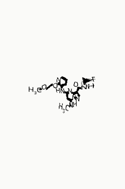 CNc1cc(Nc2cccnc2OCCOC)nc2c(C(=O)N[C@H]3C[C@H]3F)cnn12